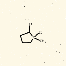 CCC1CCCS1(C)CC